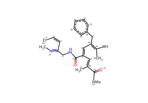 CC/C=C\C(CNC(=O)C(/C=C(\C)C(=O)NC)=C/C(Cc1ccccc1)=C(\C)CC)=N/C